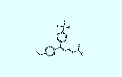 CCc1ccc(C(=CC=CC(=O)O)c2ccc(C(F)(F)F)cc2)cc1